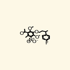 COc1c(OCCC(C)c2ccc(F)cc2)c(OC)c([N+](=O)[O-])c(C)c1C(C)=O